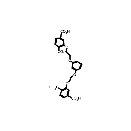 O=C(O)c1ccc(C(=O)O)c(OCCOc2cccc(OCCOc3cc(C(=O)O)ccc3C(=O)O)c2)c1